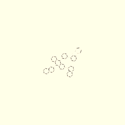 C1=CC2Oc3c(-c4cccc(-c5c6ccccc6c(-c6ccc7ccccc7c6)c6ccc(-c7cccc8ccccc78)cc56)c4)cccc3C2C=C1